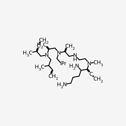 C=C=C(C)CN(CC(C)C=C)C(=C)CN(CC(C)C)C(=C)CNCCN(C)C(=C=C)C(N)CCCN